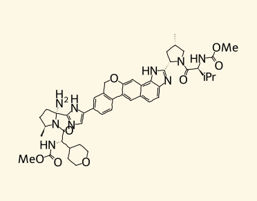 COC(=O)N[C@H](C(=O)N1C[C@@H](C)C[C@H]1c1nc2ccc3cc4c(cc3c2[nH]1)OCc1cc(-c2cnc([C@]3(N)CC[C@H](C)N3C(=O)[C@@H](NC(=O)OC)C3CCOCC3)[nH]2)ccc1-4)C(C)C